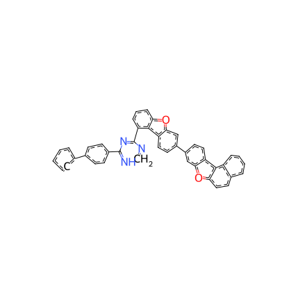 C=N/C(=N\C(=N)c1ccc(-c2ccccc2)cc1)c1cccc2oc3cc(-c4ccc5c(c4)oc4ccc6ccccc6c45)ccc3c12